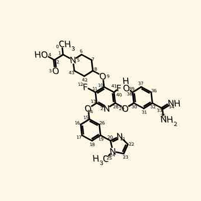 CC(C(=O)O)N1CCC(Oc2c(F)c(Oc3cccc(-c4nccn4C)c3)nc(Oc3cc(C(=N)N)ccc3O)c2F)CC1